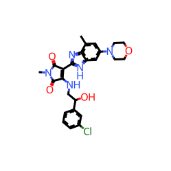 Cc1cc(N2CCOCC2)cc2[nH]c(C3=C(NCC(O)c4cccc(Cl)c4)C(=O)N(C)C3=O)nc12